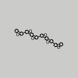 c1ccc2c(c1)oc1ccc(-c3ccc4c(c3)oc3cc5c(cc34)oc3ccc(-c4ccc6oc7cc8c(cc7c6c4)oc4ccc(-c6ccc7oc9ccccc9c7c6)cc48)cc35)cc12